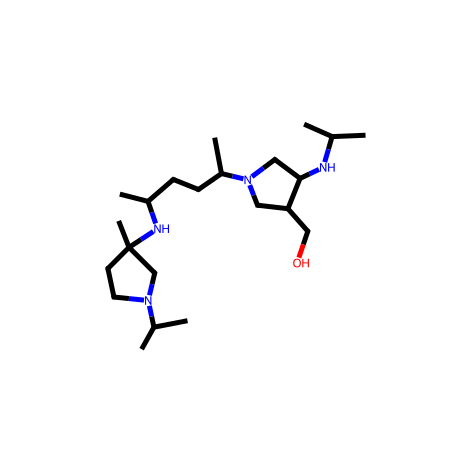 CC(C)NC1CN(C(C)CCC(C)NC2(C)CCN(C(C)C)C2)CC1CO